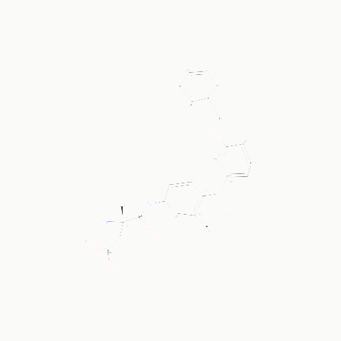 CN(C(=O)[C@@](C)(N)CC(=O)O)c1ccc(Sc2cccc(OCc3ccccc3)c2)c(C(F)(F)F)c1